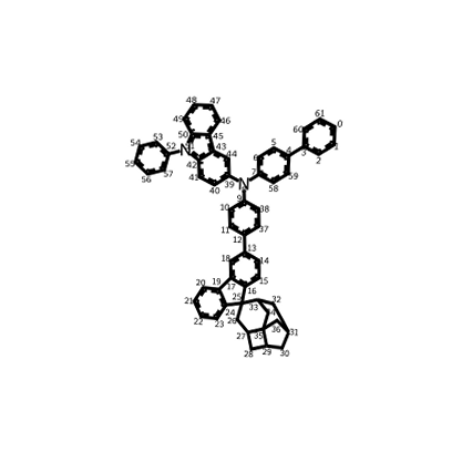 c1ccc(-c2ccc(N(c3ccc(-c4ccc5c(c4)-c4ccccc4C54CC5CC6CC7CC4CC65C7)cc3)c3ccc4c(c3)c3ccccc3n4-c3ccccc3)cc2)cc1